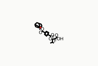 CC(C)C(OC(=O)c1ccc(C(=O)OC2(C)C3CC4CC(C3)CC2C4)cc1)C(F)(F)C(=O)O